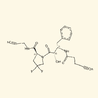 C#CCCC(=O)N[C@@H](Cc1ccccc1)[C@H](O)C(=O)N1CC(F)(F)C[C@H]1C(=O)NCC#C